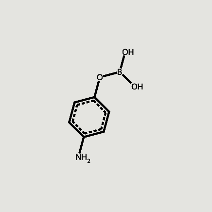 Nc1ccc(OB(O)O)cc1